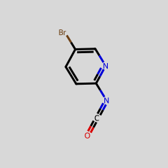 O=C=Nc1ccc(Br)cn1